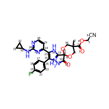 CC1(C(=O)OCC#N)COC(C(N)=O)(c2nc(-c3ccc(F)cc3)c(-c3ccnc(NC4CC4)n3)[nH]2)OC1